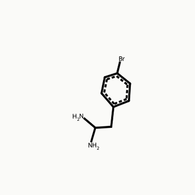 NC(N)Cc1ccc(Br)cc1